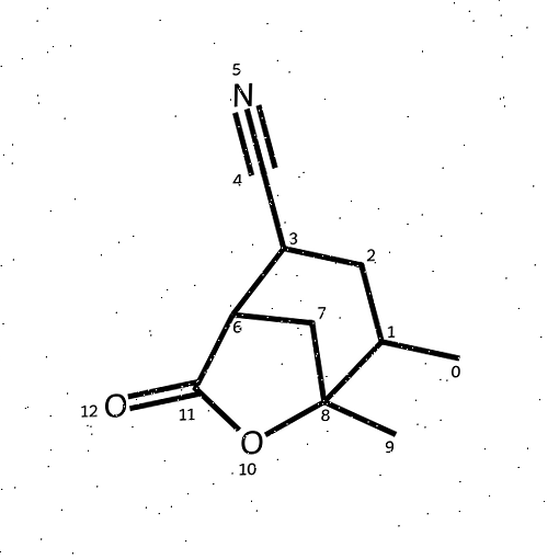 CC1CC(C#N)C2CC1(C)OC2=O